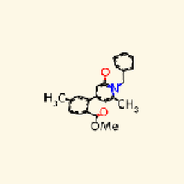 COC(=O)c1ccc(C)cc1-c1cc(C)n(Cc2ccccc2)c(=O)c1